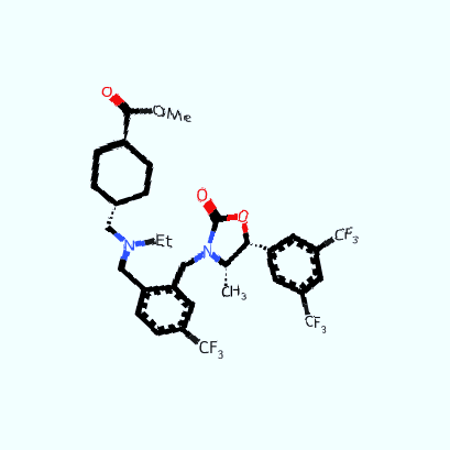 CCN(Cc1ccc(C(F)(F)F)cc1CN1C(=O)O[C@H](c2cc(C(F)(F)F)cc(C(F)(F)F)c2)[C@@H]1C)C[C@H]1CC[C@H](C(=O)OC)CC1